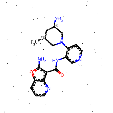 Nc1oc2cccnc2c1C(=O)Nc1cnccc1N1C[C@H](N)C[C@H](C(F)(F)F)C1